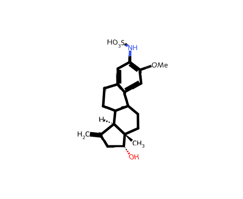 C=C1C[C@@H](O)[C@@]2(C)CCC3c4cc(OC)c(NS(=O)(=O)O)cc4CCC3[C@H]12